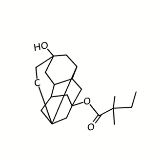 CCC(C)(C)C(=O)OC12CC3CC4(CCC5(O)CC3C(C1)C4C5)C2